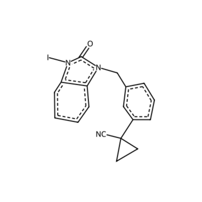 N#CC1(c2cccc(Cn3c(=O)n(I)c4ccccc43)c2)CC1